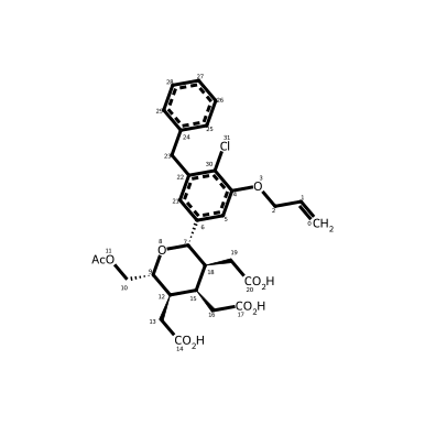 C=CCOc1cc([C@H]2O[C@@H](COC(C)=O)[C@H](CC(=O)O)[C@H](CC(=O)O)[C@@H]2CC(=O)O)cc(Cc2ccccc2)c1Cl